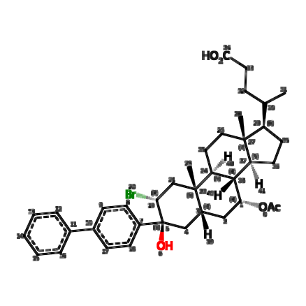 CC(=O)O[C@@H]1C[C@@H]2C[C@](O)(c3ccc(-c4ccccc4)cc3)[C@H](Br)C[C@]2(C)[C@H]2CC[C@]3(C)[C@@H](C(C)CCC(=O)O)CC[C@H]3[C@H]12